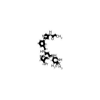 C=CC(=O)Nc1cnn(-c2cccc(CNc3cc(N[C@H]4CCC(C)(C)NC4)nc4c(C(C)C)cnn34)c2)c1